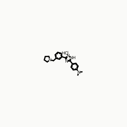 CN(C)c1ccc(-c2nc(-c3cccc(CN4CCCC4)c3)n[nH]2)cc1.Cl